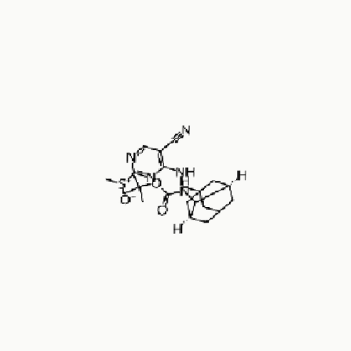 C[S+]([O-])c1ncc(C#N)c(NCC23CC4C[C@H](C2)C(NC(=O)OC(C)(C)C)[C@@H](C4)C3)n1